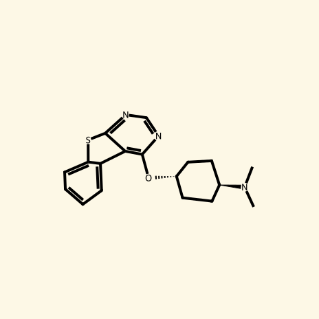 CN(C)[C@H]1CC[C@H](Oc2ncnc3sc4ccccc4c23)CC1